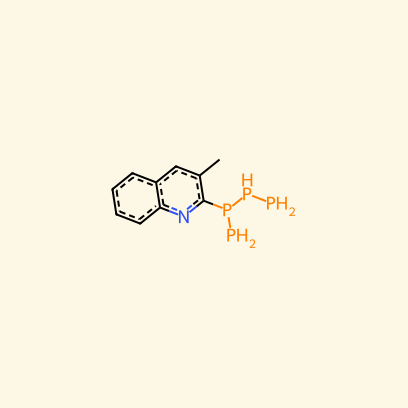 Cc1cc2ccccc2nc1P(P)PP